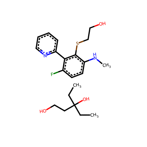 CCC(O)(CC)CCO.CNc1ccc(F)c(-c2ccccn2)c1SCCO